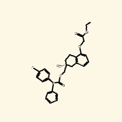 CCOC(=O)COc1cccc2c1CC[C@](O)(COC(=O)N(c1ccccc1)c1ccc(F)cc1)C2